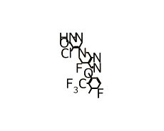 CC1C(C(F)(F)F)=C(Oc2ncnc3c2C(F)CN(c2cn[nH]c(=O)c2Cl)C3)C=CC1F